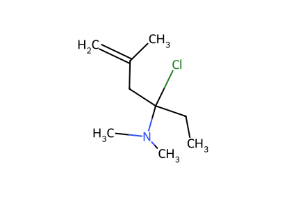 C=C(C)CC(Cl)(CC)N(C)C